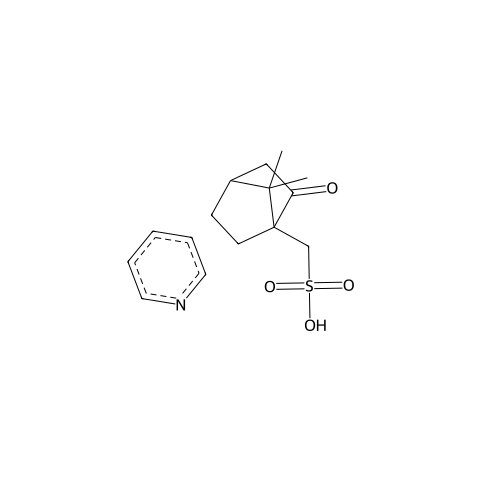 CC1(C)C2CCC1(CS(=O)(=O)O)C(=O)C2.c1ccncc1